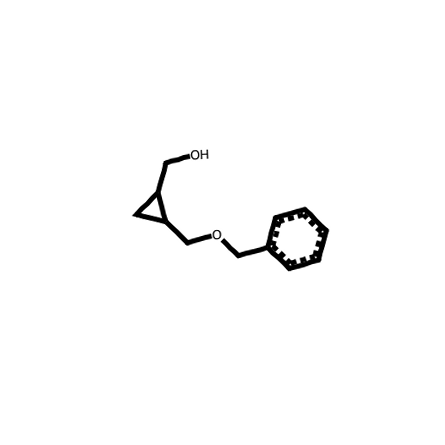 OCC1CC1COCc1ccccc1